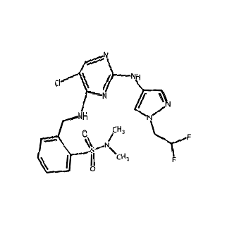 CN(C)S(=O)(=O)c1ccccc1CNc1nc(Nc2cnn(CC(F)F)c2)ncc1Cl